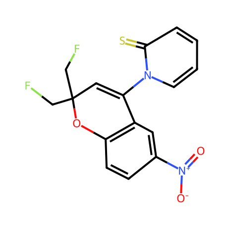 O=[N+]([O-])c1ccc2c(c1)C(n1ccccc1=S)=CC(CF)(CF)O2